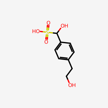 O=S(=O)(O)C(O)c1ccc(CCO)cc1